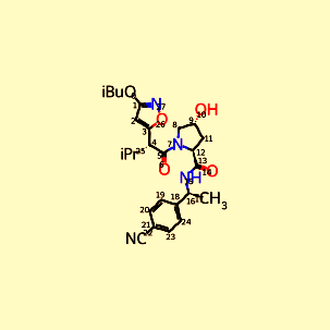 CC(C)COc1cc([C@H](C(=O)N2C[C@H](O)C[C@H]2C(=O)N[C@@H](C)c2ccc(C#N)cc2)C(C)C)on1